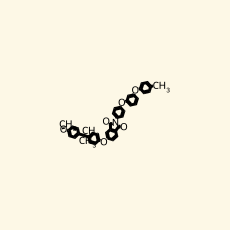 COc1ccc(C(C)(C)c2ccc(Oc3ccc4c(c3)C(=O)N(c3ccc(Oc5cccc(Oc6ccc(C)cc6)c5)cc3)C4=O)cc2)cc1